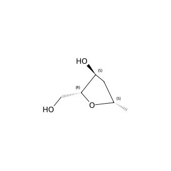 C[C@H]1C[C@H](O)[C@@H](CO)O1